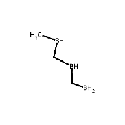 BCBCBC